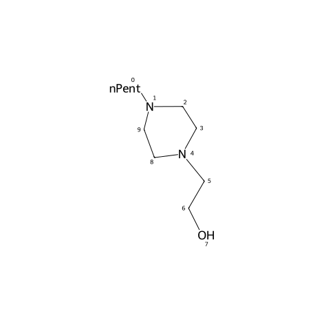 CCCCCN1CCN(CCO)CC1